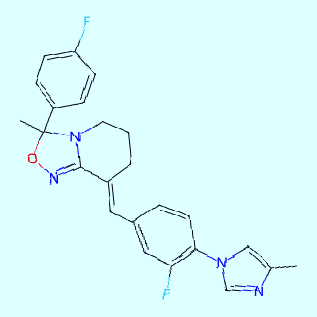 Cc1cn(-c2ccc(/C=C3\CCCN4C3=NOC4(C)c3ccc(F)cc3)cc2F)cn1